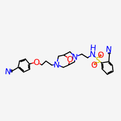 N#Cc1ccc(OCCCN2CC3CN(CCNS(=O)(=O)c4ccccc4C#N)CC(C2)O3)cc1